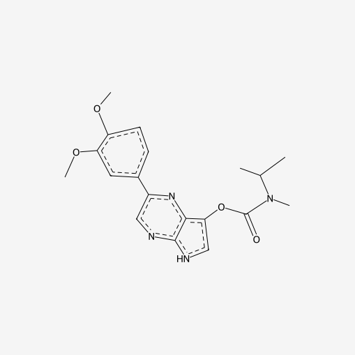 COc1ccc(-c2cnc3[nH]cc(OC(=O)N(C)C(C)C)c3n2)cc1OC